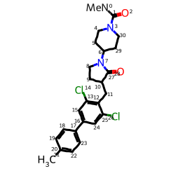 CNC(=O)N1CCC(N2CCC(Cc3c(Cl)cc(-c4ccc(C)cc4)cc3Cl)C2=O)CC1